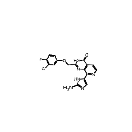 Nc1ncc(-c2nccc3c(=O)[nH]c(COc4ccc(F)c(Cl)c4)nc23)[nH]1